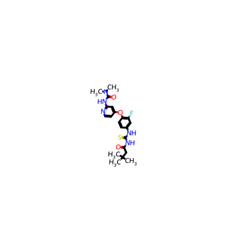 CN(C)C(=O)Nc1cc(Oc2ccc(NC(=S)NC(=O)CC(C)(C)C)cc2F)ccn1